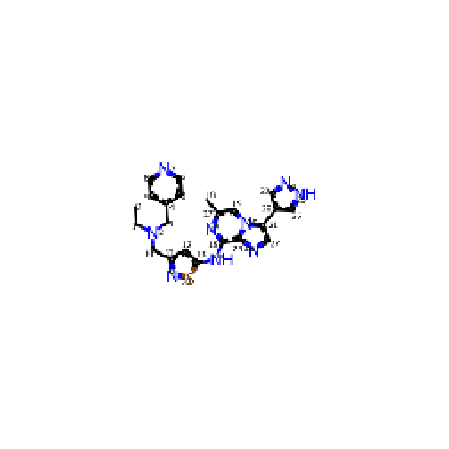 CCN(Cc1ccncc1)Cc1cc(Nc2nc(C)cn3c(-c4cn[nH]c4)cnc23)sn1